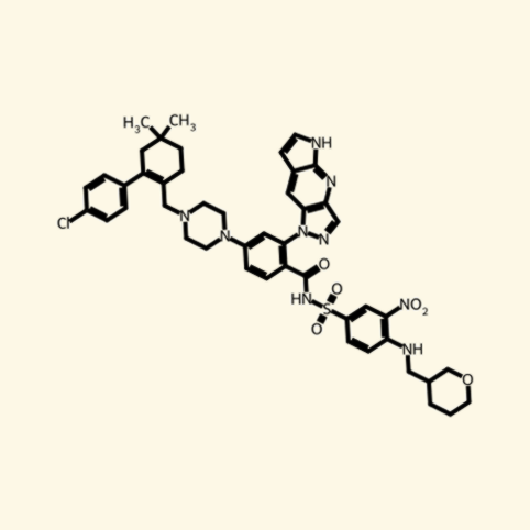 CC1(C)CCC(CN2CCN(c3ccc(C(=O)NS(=O)(=O)c4ccc(NCC5CCCOC5)c([N+](=O)[O-])c4)c(-n4ncc5nc6[nH]ccc6cc54)c3)CC2)=C(c2ccc(Cl)cc2)C1